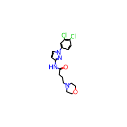 O=C(CCCN1CCOCC1)Nc1ccn(-c2ccc(Cl)c(Cl)c2)n1